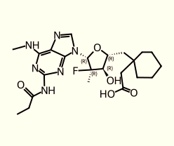 CCC(=O)Nc1nc(NC)c2ncn([C@@H]3O[C@H](CC4(CC(=O)O)CCCCC4)[C@@H](O)[C@@]3(C)F)c2n1